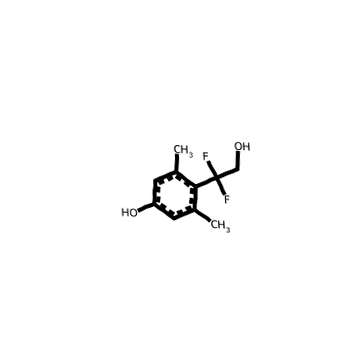 Cc1cc(O)cc(C)c1C(F)(F)CO